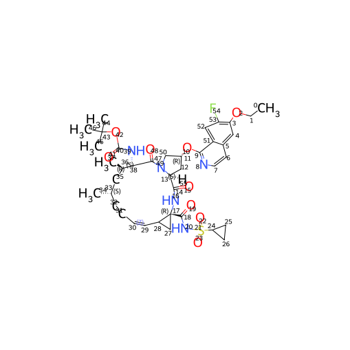 CCOc1cc2ccnc(O[C@@H]3C[C@H]4C(=O)N[C@]5(C(=O)NS(=O)(=O)C6CC6)CC5/C=C\CC[C@H](C)C[C@@H](C)[C@H](NC(=O)OC(C)(C)C)C(=O)N4C3)c2cc1F